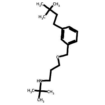 CC(C)(C)CCc1cccc(COCCCNC(C)(C)C)c1